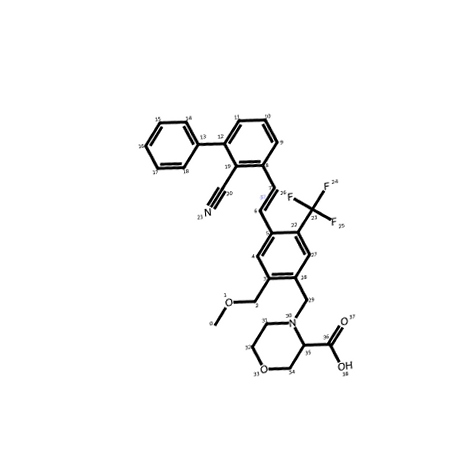 COCc1cc(/C=C/c2cccc(-c3ccccc3)c2C#N)c(C(F)(F)F)cc1CN1CCOCC1C(=O)O